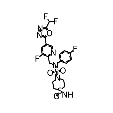 N=S1(=O)CCN(S(=O)(=O)N(Cc2ncc(-c3nnc(C(F)F)o3)cc2F)c2ccc(F)cc2)CC1